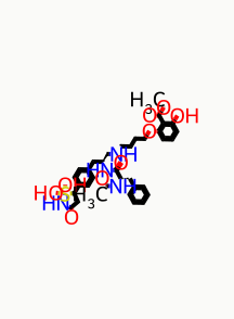 COC(=O)c1c(O)cccc1OCCCCNC[C@H](Cc1ccc(C2CC(=O)NS2(O)O)cc1)NC(=O)[C@H](Cc1ccccc1)NC(C)=O